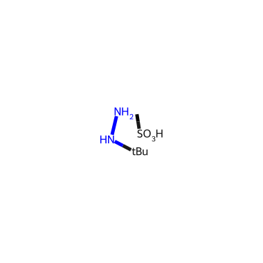 CC(C)(C)NN.CS(=O)(=O)O